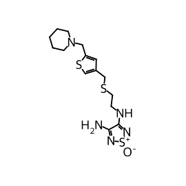 Nc1n[s+]([O-])nc1NCCSCc1csc(CN2CCCCC2)c1